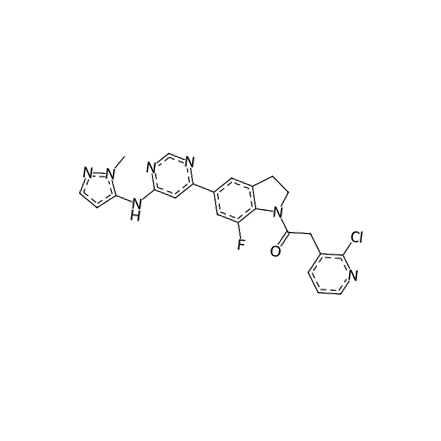 Cn1nccc1Nc1cc(-c2cc(F)c3c(c2)CCN3C(=O)Cc2cccnc2Cl)ncn1